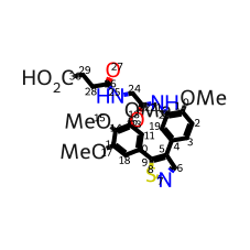 COc1ccc(-c2cnsc2-c2cc(OC)c(OC)c(OC)c2)cc1NC(=O)CNC(=O)CCC(=O)O